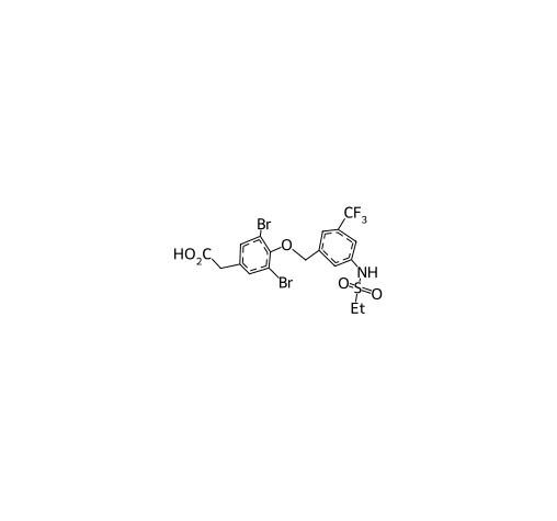 CCS(=O)(=O)Nc1cc(COc2c(Br)cc(CC(=O)O)cc2Br)cc(C(F)(F)F)c1